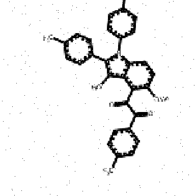 COc1ccc(-n2c(-c3ccc(C(F)(F)F)cc3)c(O)c3c(C(=O)C(=O)c4ccc(C(F)(F)F)cc4)c(OC)ccc32)cc1